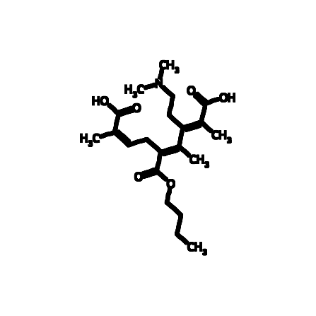 CCCCOC(=O)C(CC=C(C)C(=O)O)=C(C)C(CCN(C)C)=C(C)C(=O)O